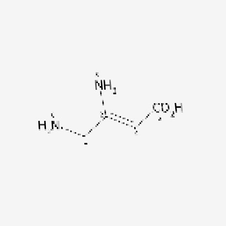 NCC(N)=CC(=O)O